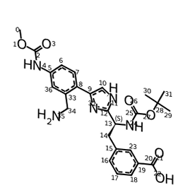 COC(=O)Nc1ccc(-c2c[nH]c([C@H](Cc3cccc(C(=O)O)c3)NC(=O)OC(C)(C)C)n2)c(CN)c1